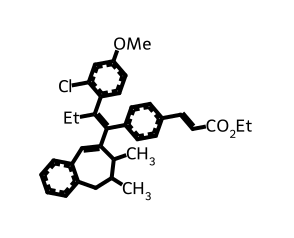 CCOC(=O)/C=C/c1ccc(/C(C2=Cc3ccccc3CC(C)C2C)=C(/CC)c2ccc(OC)cc2Cl)cc1